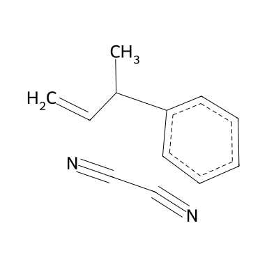 C=CC(C)c1ccccc1.N#CC#N